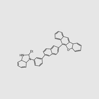 CCC1NC2C=CC=CC2N1c1cccc(-c2ccc3cc(-c4c5c(cc6ccccc46)C4C=CC=CC4O5)ccc3c2)c1